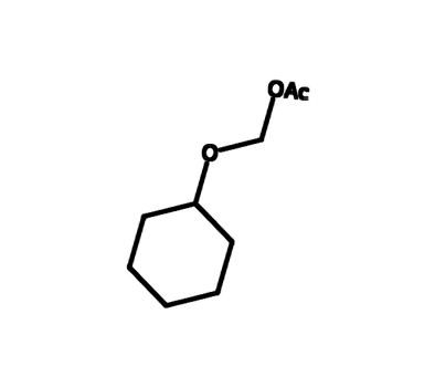 CC(=O)OCOC1CCCCC1